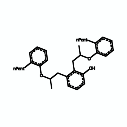 CCCCCc1ccccc1OC(C)Cc1cccc(O)c1CC(C)Oc1ccccc1CCCCC